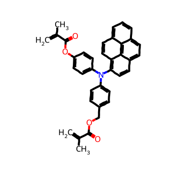 C=C(C)C(=O)OCc1ccc(N(c2ccc(OC(=O)C(=C)C)cc2)c2ccc3ccc4cccc5ccc2c3c45)cc1